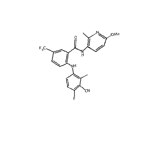 COc1ccc(NC(=O)c2cc(C(F)(F)F)ccc2Nc2ccc(F)c(C#N)c2C)c(C)n1